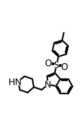 Cc1ccc(S(=O)(=O)c2cn(CC3CCNCC3)c3ccccc23)cc1